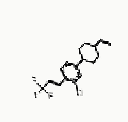 C=CC1CCC(c2ccc(/C=C/C(F)(F)F)c(Cl)c2)CC1